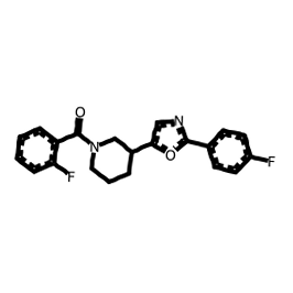 O=C(c1ccccc1F)N1CCCC(c2cnc(-c3ccc(F)cc3)o2)C1